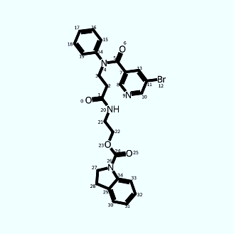 O=C(CCN(C(=O)c1cncc(Br)c1)c1ccccc1)NCCOC(=O)N1CCc2ccccc21